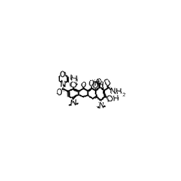 CN(C)c1cc(C(=O)N2CCOCC2)c(O)c2c1CC1CC3[C@@H](N(C)C)C(O)=C(C(N)=O)C(=O)[C@@]3(O)C(O)=C1C2=O